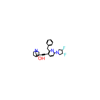 O[C@]1(C#Cc2ccc(N3C[C@@H](F)[C@H](F)C3)nc2Cc2ccccc2)CN2CCC1CC2